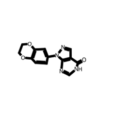 O=c1[nH]cnc2c1cnn2-c1ccc2c(c1)OCCO2